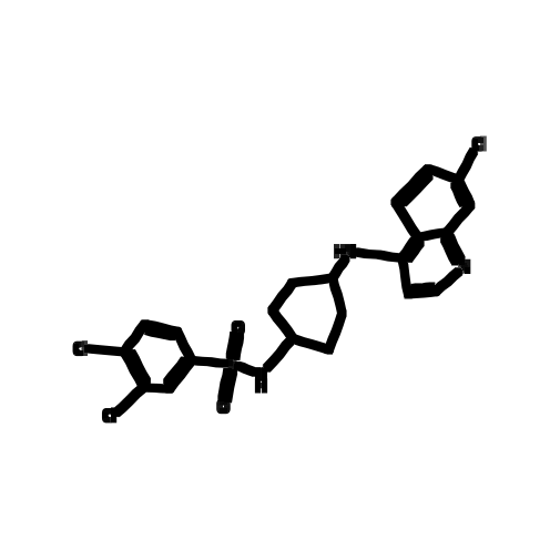 O=S(=O)(NC1CCC(Nc2ccnc3cc(Cl)ccc23)CC1)c1ccc(Cl)c(Cl)c1